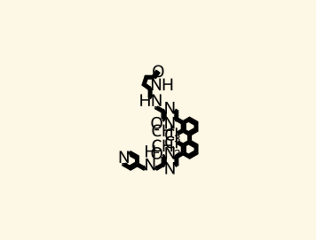 COc1nc(-c2cccc(-c3cccc(-c4cnc(CNCC5CCC(=O)N5)c(OC)n4)c3Cl)c2Cl)cnc1CNCc1ccncc1